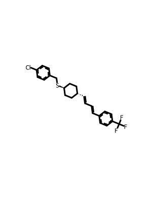 FC(F)(F)c1ccc(C=CC=C[C@H]2CC[C@H](SCc3ccc(Cl)cc3)CC2)cc1